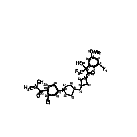 COc1cc(F)cc([C@@](O)(C(=O)N2CC(CC3CCN(c4ccc(C(=O)N(C)C)c(Cl)c4)CC3)C2)C(F)(F)F)c1